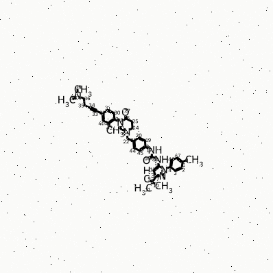 Cc1ccc(-n2nc(C(C)(C)C)cc2NC(=O)Nc2ccc(CN3CCC(=O)N(c4ccc(C#CCCN(C)C)cc4C)C3)cc2)cc1